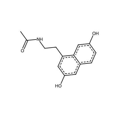 CC(=O)NCCc1cc(O)cc2ccc(O)cc12